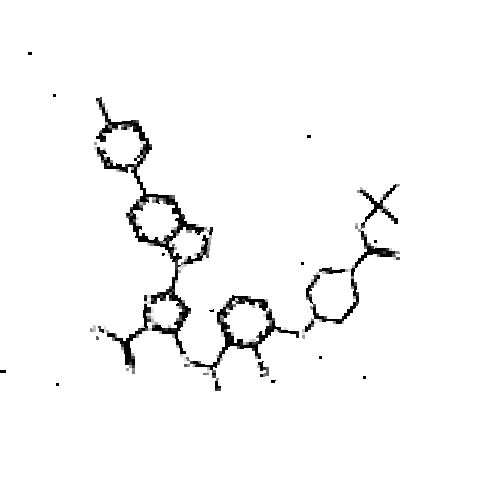 Cc1ccc(-c2ccc3c(c2)ncn3-c2cc(O[C@H](C)c3cccc(OC4CCN(C(=O)OC(C)(C)C)CC4)c3Cl)c(C(N)=O)s2)cn1